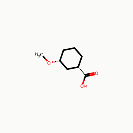 CO[C@@H]1CCC[C@H](C(=O)O)C1